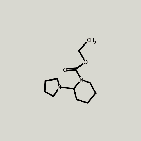 CCOC(=O)N1CCCCC1N1CCCC1